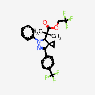 CC(C)(C(=O)OCC(F)(F)F)C1N(c2ccccc2)N=C(c2ccc(C(F)(F)F)cc2)C12CC2